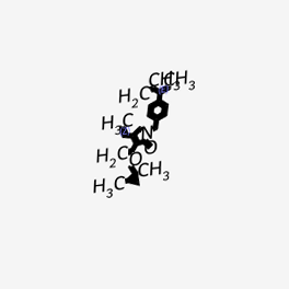 C=C(OCC1(C)CC1C)C1=C(/C=C\C)CN(Cc2ccc(/C(=C/C)C(=C)C)cc2)C1=O